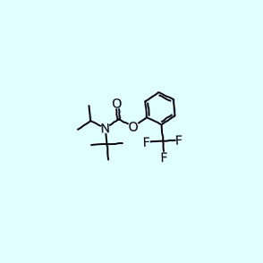 CC(C)N(C(=O)Oc1ccccc1C(F)(F)F)C(C)(C)C